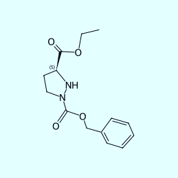 CCOC(=O)[C@@H]1CCN(C(=O)OCc2ccccc2)N1